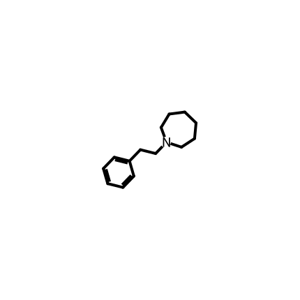 c1ccc(CCN2CCCCCC2)cc1